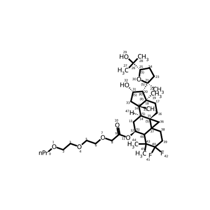 CCCOCCOCCOCC(=O)O[C@H]1C[C@@H]2[C@]3(CC[C@]4(C)[C@@H]([C@]5(C)CC[C@@H](C(C)(C)O)O5)[C@@H](O)C[C@@]24C)CC32CCC(F)(F)C(C)(C)C12